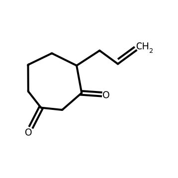 C=CCC1CCCC(=O)CC1=O